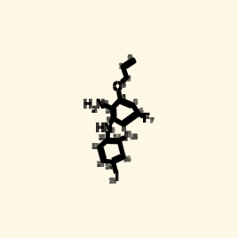 C=CCOc1cc(F)cc(Nc2ccc(I)cc2F)c1N